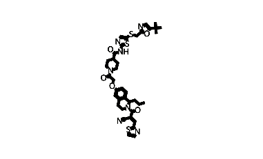 CCCC1c2ccc(OCC(=O)N3CCC(C(=O)Nc4ncc(SCc5ncc(C(C)(C)C)o5)s4)CC3)cc2CCN1C(=O)/C(C#N)=C/c1nccs1